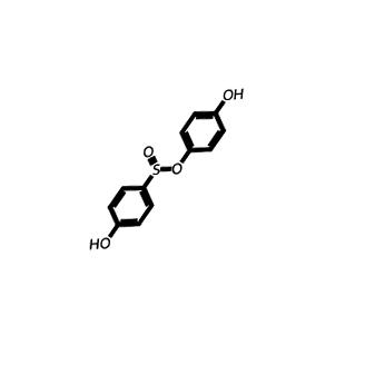 O=S(Oc1ccc(O)cc1)c1ccc(O)cc1